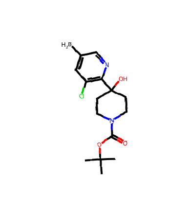 Bc1cnc(C2(O)CCN(C(=O)OC(C)(C)C)CC2)c(Cl)c1